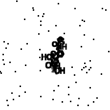 C[C@@H](O)[C@H]1C(=O)N2C(C(=O)O)=C(c3cccc(CNC(=O)C4CC=CS4)c3)C[C@H]12